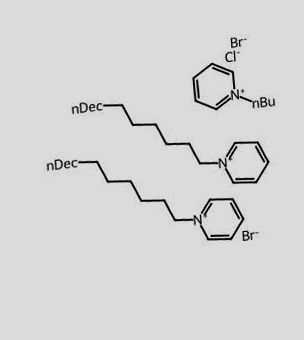 CCCCCCCCCCCCCCCC[n+]1ccccc1.CCCCCCCCCCCCCCCC[n+]1ccccc1.CCCC[n+]1ccccc1.[Br-].[Br-].[Cl-]